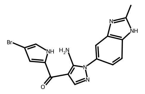 Cc1nc2cc(-n3ncc(C(=O)c4cc(Br)c[nH]4)c3N)ccc2[nH]1